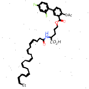 CC/C=C\C/C=C\C/C=C\C/C=C\C/C=C\C/C=C\CCC(=O)NC(CCCOC(=O)c1cc(-c2ccc(F)cc2F)ccc1OC(C)=O)C(=O)O